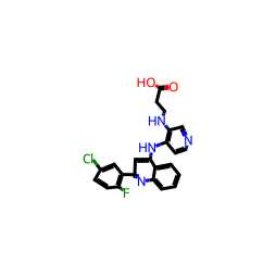 O=C(O)CCNc1cnccc1Nc1cc(-c2cc(Cl)ccc2F)nc2ccccc12